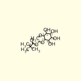 COC1C(O)C(O)C(O)C(O)C1OCOC(=O)C(C)(C)C